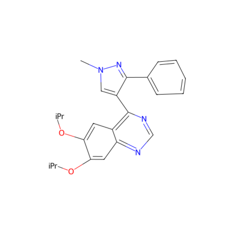 CC(C)Oc1cc2ncnc(-c3cn(C)nc3-c3ccccc3)c2cc1OC(C)C